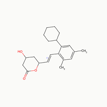 Cc1cc(C)c(/C=C/C2CC(O)CC(=O)O2)c(C2CCCCC2)c1